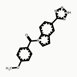 COc1ccc(C(=O)n2ccc3cc(-c4nn[nH]n4)ccc32)cc1